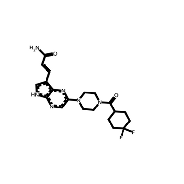 NC(=O)C=Cc1c[nH]c2ncc(N3CCN(C(=O)C4CCC(F)(F)CC4)CC3)nc12